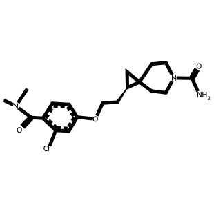 CN(C)C(=O)c1ccc(OCC[C@H]2CC23CCN(C(N)=O)CC3)cc1Cl